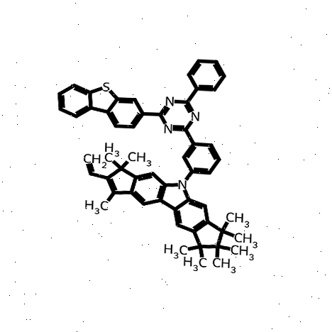 C=CC1=C(C)c2cc3c4cc5c(cc4n(-c4cccc(-c6nc(-c7ccccc7)nc(-c7ccc8c(c7)sc7ccccc78)n6)c4)c3cc2C1(C)C)C(C)(C)C(C)(C)C5(C)C